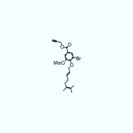 C#CCOC(=O)c1cc(Br)c(OCC=CCCC(C)=C(C)C)c(OC)c1